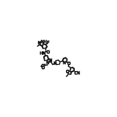 Cc1cc2c(C#N)ccc(COc3cccc(C4CCN(Cc5nc6cc(NC(=O)c7cc(F)c8[nH]nc(C)c8c7)ccc6n5C[C@@H]5CCO5)CC4)n3)c2o1